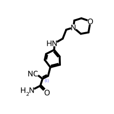 N#C/C(=C\c1ccc(NCCN2CCOCC2)cc1)C(N)=O